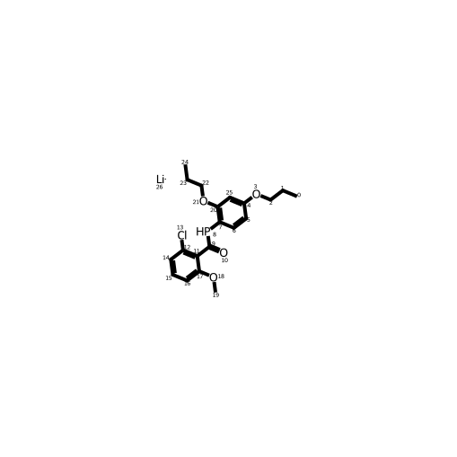 CCCOc1ccc(PC(=O)c2c(Cl)cccc2OC)c(OCCC)c1.[Li]